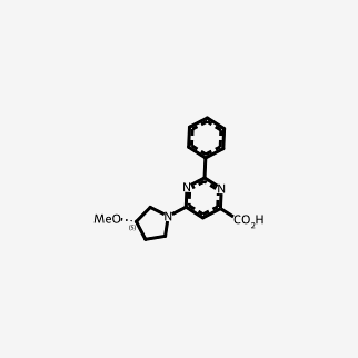 CO[C@H]1CCN(c2cc(C(=O)O)nc(-c3ccccc3)n2)C1